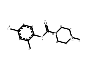 Cc1cc(Cl)ccc1OC(=O)N1CCN(C)CC1